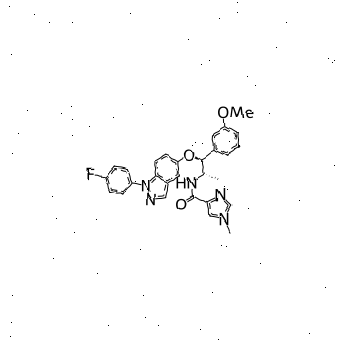 COc1cccc([C@H](Oc2ccc3c(cnn3-c3ccc(F)cc3)c2)[C@H](C)NC(=O)c2cn(C)cn2)c1